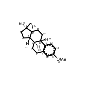 CC[C@@]1(C)CC[C@H]2[C@@H]3CCc4cc(OC)ccc4[C@H]3CC[C@@]21C